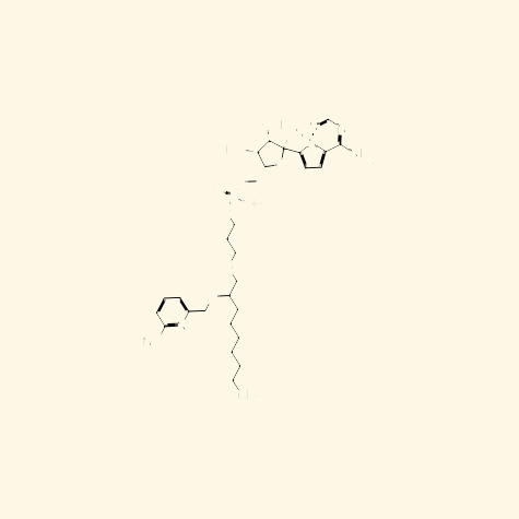 CCCCCCCCCCCCCCCCC(COCCCOP(=O)(O)OC[C@H]1O[C@@](C#N)(c2ccc3c(N)ncnn23)[C@H](O)[C@@H]1O)OCc1cccc(C#N)n1